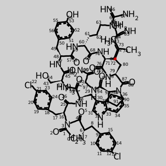 CC(=O)N(C(=O)[C@@H](N)Cc1ccc(Cl)cc1)[C@@H](Cc1ccc(Cl)cc1)C(=O)N[C@H](Cc1c[nH]c2ccccc12)C(=O)N[C@@H](CO)C(=O)N[C@@H](Cc1ccc(O)cc1)C(=O)N[C@H](CCCNC(=N)N)C(=O)N[C@@H](CC(C)C)C(=O)N[C@@H](CCCNC(=N)N)C(=O)N1CCC[C@H]1C(=O)N[C@H](C)C(N)=O